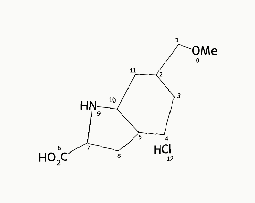 COCC1CCC2CC(C(=O)O)NC2C1.Cl